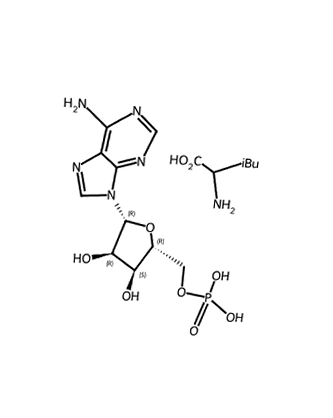 CCC(C)C(N)C(=O)O.Nc1ncnc2c1ncn2[C@@H]1O[C@H](COP(=O)(O)O)[C@@H](O)[C@H]1O